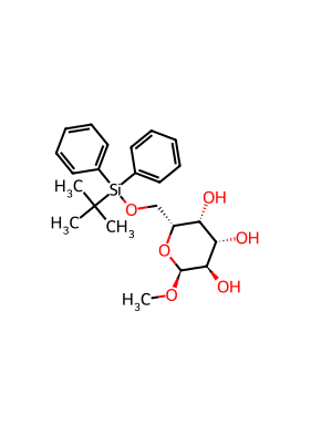 CO[C@H]1O[C@H](CO[Si](c2ccccc2)(c2ccccc2)C(C)(C)C)[C@H](O)[C@H](O)[C@H]1O